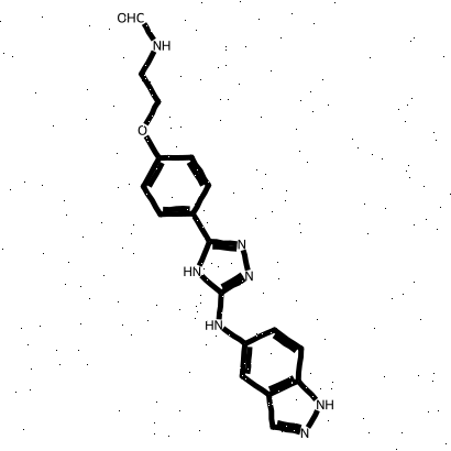 O=CNCCOc1ccc(-c2nnc(Nc3ccc4[nH]ncc4c3)[nH]2)cc1